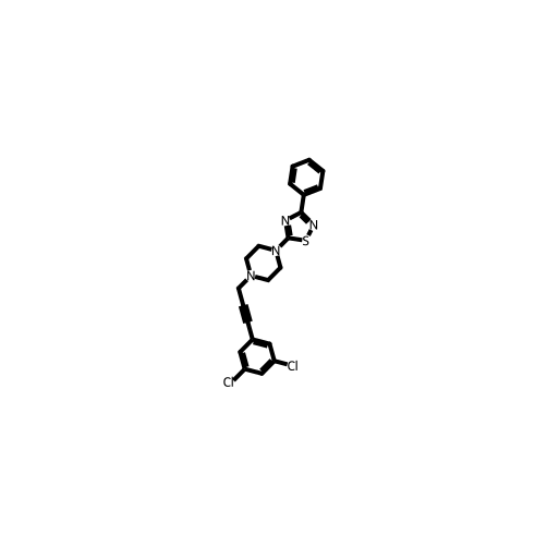 Clc1cc(Cl)cc(C#CCN2CCN(c3nc(-c4ccccc4)ns3)CC2)c1